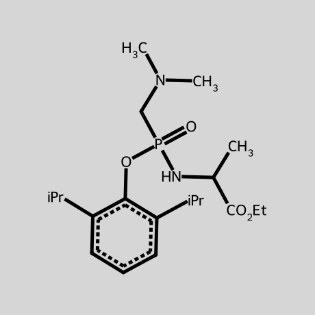 CCOC(=O)C(C)NP(=O)(CN(C)C)Oc1c(C(C)C)cccc1C(C)C